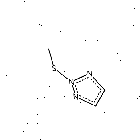 CSn1nccn1